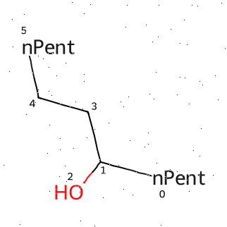 [CH2]CCCCC(O)CCCCCCC